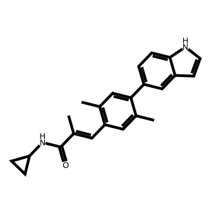 C/C(=C\c1cc(C)c(-c2ccc3[nH]ccc3c2)cc1C)C(=O)NC1CC1